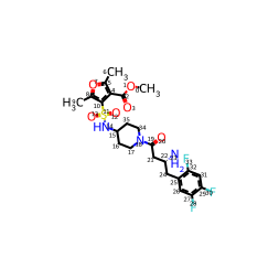 COC(=O)c1c(C)oc(C)c1S(=O)(=O)NC1CCN(C(=O)C[C@H](N)Cc2cc(F)c(F)cc2F)CC1